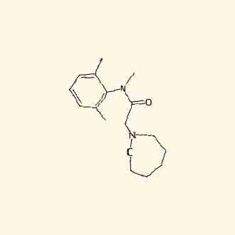 Cc1cccc(C)c1N(C)C(=O)CN1CCCCCC1